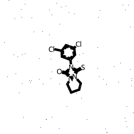 O=c1n(-c2cc(Cl)cc(Cl)c2)c(=S)n2n1CCCC2